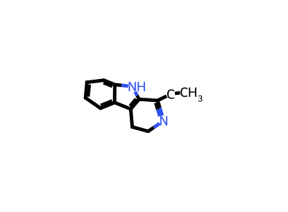 CCC1=NCCc2c1[nH]c1ccccc21